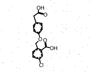 O=C(O)Cc1ccc(OCc2ccc(Cl)cc2C(=O)O)cc1